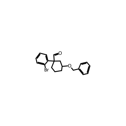 O=CC1(c2ccccc2Br)CCCC(OCc2ccccc2)C1